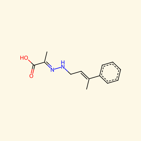 C/C(=C\CN/N=C(\C)C(=O)O)c1ccccc1